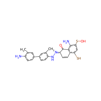 Cc1cc(-c2ccc(N/N=C3\C=Cc4c(S)cc(SO)c(N)c4C3=O)c(C)c2)ccc1N